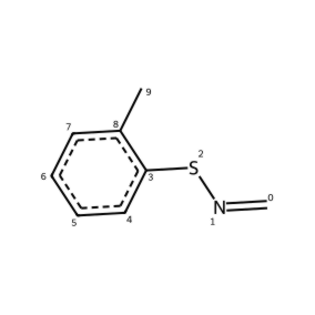 C=NSc1ccccc1C